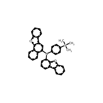 C[Si](C)(C)c1ccc(N(c2cc3c4ccccc4oc3c3ccccc23)c2cccc3c2oc2ccccc23)cc1